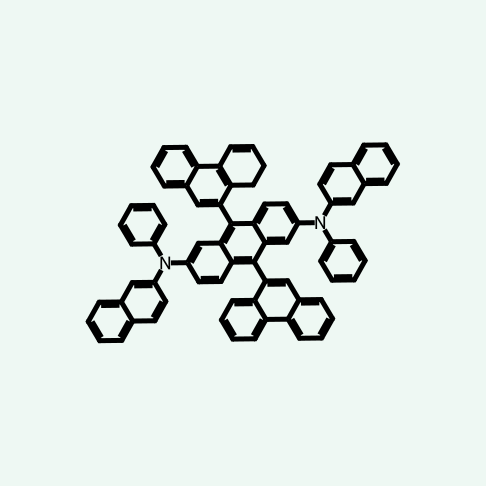 C1=Cc2c(c(-c3c4cc(N(c5ccccc5)c5ccc6ccccc6c5)ccc4c(-c4cc5ccccc5c5ccccc45)c4cc(N(c5ccccc5)c5ccc6ccccc6c5)ccc34)cc3ccccc23)CC1